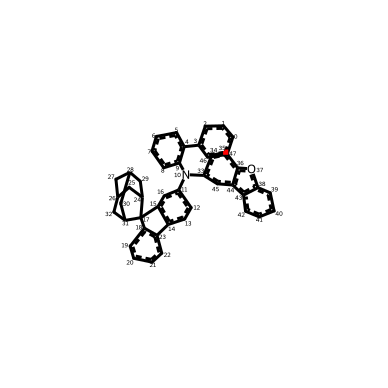 c1ccc(-c2ccccc2N(c2ccc3c(c2)C2(c4ccccc4-3)C3CC4CC(C3)CC2C4)c2ccc3oc4ccccc4c3c2)cc1